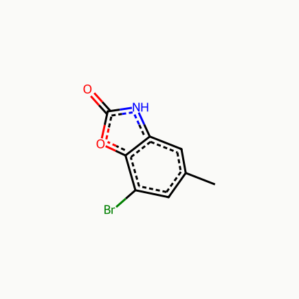 Cc1cc(Br)c2oc(=O)[nH]c2c1